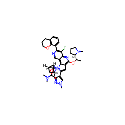 CC(Oc1nc2c(F)c(-c3cccc4c3OCCC4)ncc2c2c1cc(-c1cn(C)nc1C(=O)N(C)C)n2[C@H]1[C@H]2CN[C@@H]1C2)[C@@H]1CCCN1C